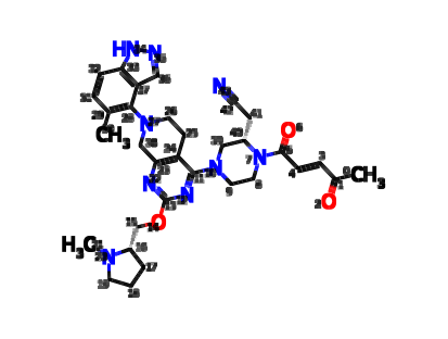 CC(=O)/C=C/C(=O)N1CCN(c2nc(OC[C@@H]3CCCN3C)nc3c2CCN(c2c(C)ccc4[nH]ncc24)C3)C[C@@H]1CC#N